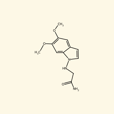 COc1cc2ccn(NCC(N)=O)c2cc1OC